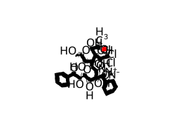 CC(=O)C1(O)O[C@H](CO)[C@@H](O)[C@@](O)(C2O[C@H](C(O)C(=O)c3ccccc3)[C@@H](O)[C@@](O)(C(=O)c3ccccc3)[C@H]2N=[N+]=[N-])[C@]1(O)C(=O)C(Cl)(Cl)Cl